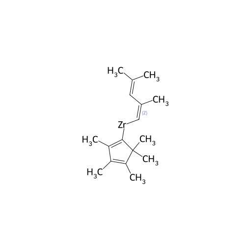 CC(C)=C/C(C)=[CH]\[Zr][C]1=C(C)C(C)=C(C)C1(C)C